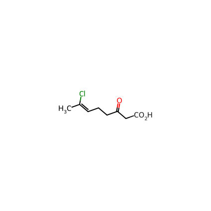 CC(Cl)=CCCC(=O)CC(=O)O